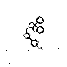 Nc1ccc(-c2noc(CN3CCC(c4ccccc4)(c4ccccc4)C3=O)n2)cn1